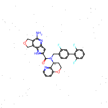 Nc1nc2cc(C(=O)N(Cc3ccc(-c4c(F)cccc4F)cc3F)[C@H]3CCOc4cccnc43)[nH]c2c2c1COC2